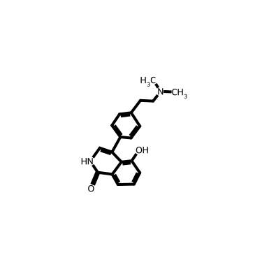 CN(C)CCc1ccc(-c2c[nH]c(=O)c3cccc(O)c23)cc1